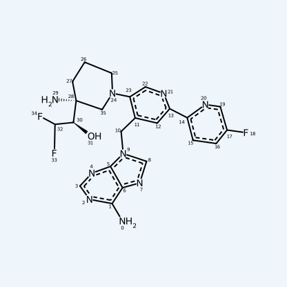 Nc1ncnc2c1ncn2Cc1cc(-c2ccc(F)cn2)ncc1N1CCC[C@](N)([C@@H](O)C(F)F)C1